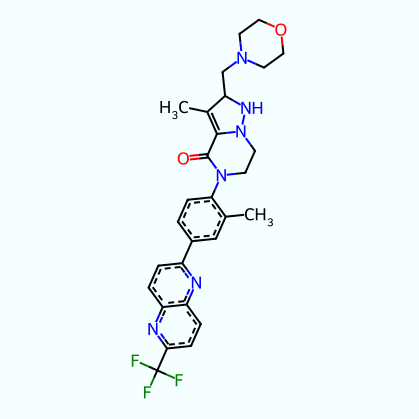 CC1=C2C(=O)N(c3ccc(-c4ccc5nc(C(F)(F)F)ccc5n4)cc3C)CCN2NC1CN1CCOCC1